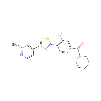 CC(C)(C)c1cc(-c2csc(-c3ccc(C(=O)N4CCCCC4)cc3Cl)n2)ccn1